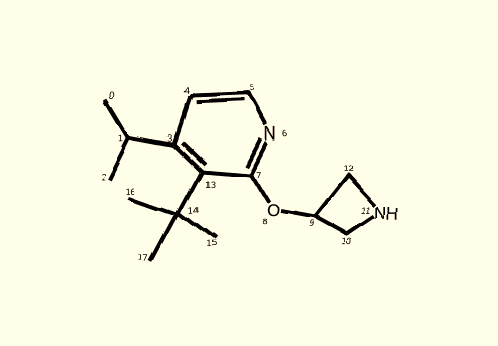 CC(C)c1ccnc(OC2CNC2)c1C(C)(C)C